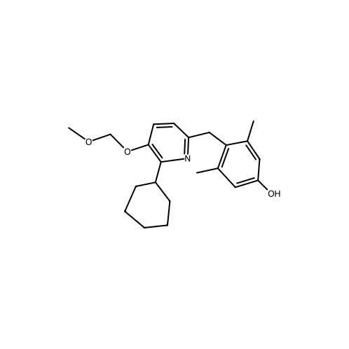 COCOc1ccc(Cc2c(C)cc(O)cc2C)nc1C1CCCCC1